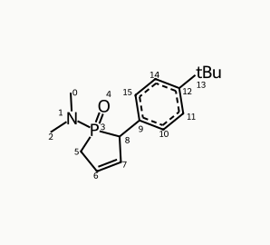 CN(C)P1(=O)CC=CC1c1ccc(C(C)(C)C)cc1